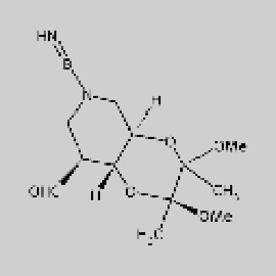 CO[C@@]1(C)O[C@@H]2[C@@H](C=O)CN(B=N)C[C@H]2O[C@]1(C)OC